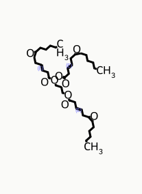 CCCCCC1OC1C/C=C/CC(=O)OCC(COC(=O)C/C=C/CC1OC1CCCCC)OC(=O)C/C=C/CC1OC1CCCCC